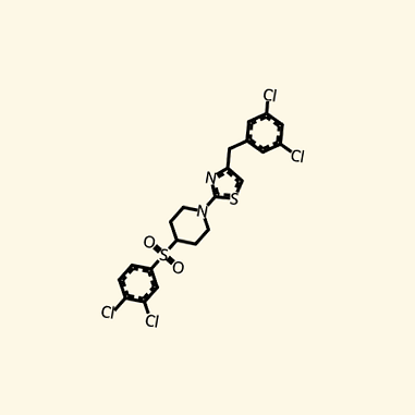 O=S(=O)(c1ccc(Cl)c(Cl)c1)C1CCN(c2nc(Cc3cc(Cl)cc(Cl)c3)cs2)CC1